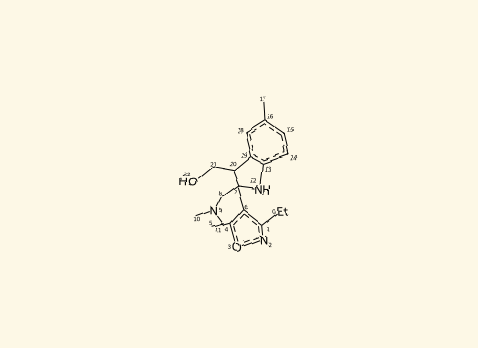 CCc1noc(C)c1C1(CN(C)C)Nc2ccc(C)cc2C1CO